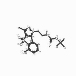 Cc1nn(CCNC(=O)OC(C)(C)C)c2c1S(=O)(=O)c1c(Cl)cccc1-2